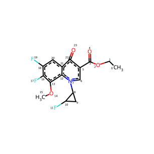 CCOC(=O)c1cn(C2CC2F)c2c(OC)c(F)c(F)cc2c1=O